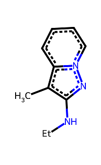 CCNc1nn2ccccc2c1C